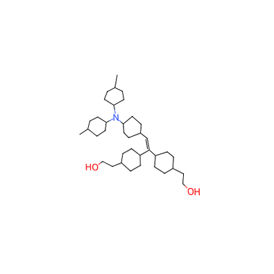 CC1CCC(N(C2CCC(C)CC2)C2CCC(C=C(C3CCC(CCO)CC3)C3CCC(CCO)CC3)CC2)CC1